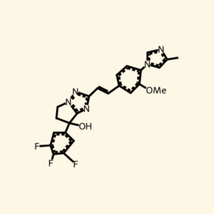 COc1cc(/C=C/c2nc3n(n2)CCC3(O)c2cc(F)c(F)c(F)c2)ccc1-n1cnc(C)c1